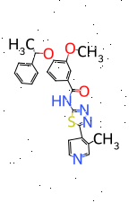 COc1cc(C(=O)Nc2nnc(-c3ccncc3C)s2)ccc1O[C@@H](C)c1ccccc1